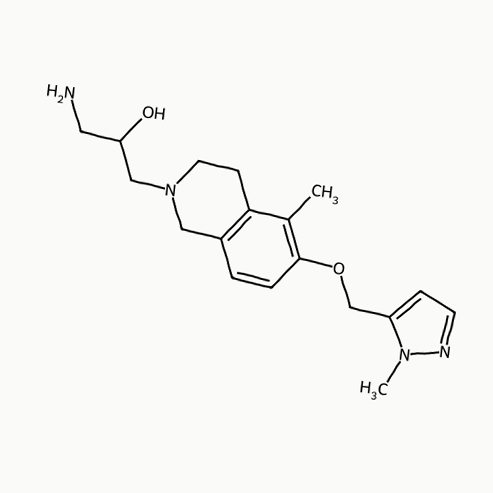 Cc1c(OCc2ccnn2C)ccc2c1CCN(CC(O)CN)C2